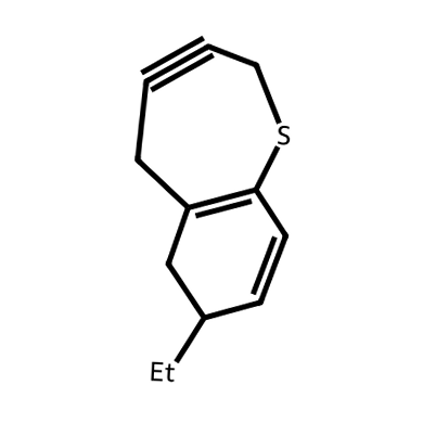 CCC1C=CC2=C(CC#CCS2)C1